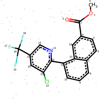 COC(=O)c1ccc2cccc(-c3ncc(C(F)(F)F)cc3Cl)c2c1